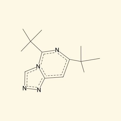 CC(C)(C)c1cc2nncn2c(C(C)(C)C)n1